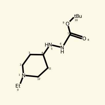 CCN1CCC(NNC(=O)OC(C)(C)C)CC1